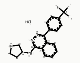 Cl.FC(F)(F)c1ccc(-c2nnc(N[C@H]3CCNC3)c3ccccc23)cc1